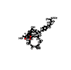 CC[C@H](C)[C@@H]1NC(=O)CNC(=O)[C@@H]2Cc3c([nH]c4ccccc34)SCC(NC(=O)CNC1=O)C(=O)N[C@@H](CC(=O)NCc1ccc(NC(=O)[C@H](C)NC(=O)C(NC)C(C)C)cc1)C(=O)N1C[C@H](O)C[C@H]1C(=O)N[C@@H]([C@@H](C)[C@@H](O)CO)C(=O)N2